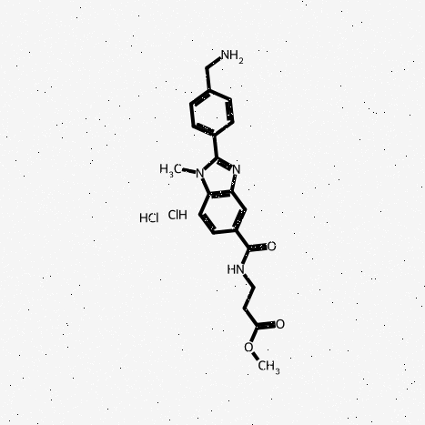 COC(=O)CCNC(=O)c1ccc2c(c1)nc(-c1ccc(CN)cc1)n2C.Cl.Cl